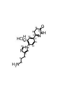 Cl.Cl.NCCCc1cn(-c2ccc(C3=NNC(=O)CC3)cc2)cn1